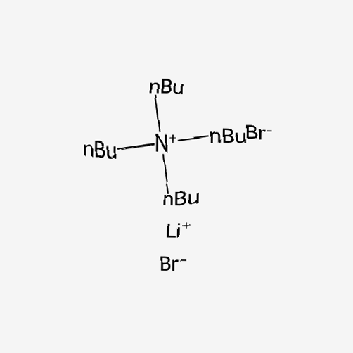 CCCC[N+](CCCC)(CCCC)CCCC.[Br-].[Br-].[Li+]